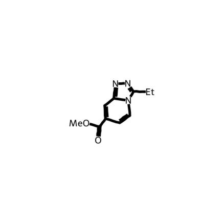 CCc1nnc2cc(C(=O)OC)ccn12